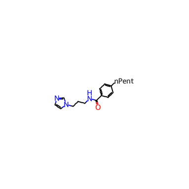 CCCCCc1ccc(C(=O)NCCCn2ccnc2)cc1